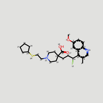 COc1ccc2ncc(C)c([C@@H](F)CCC3(C(=O)O)CCN(CCSC4CCCC4)CC3)c2c1